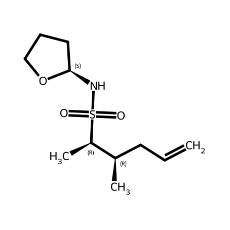 C=CC[C@@H](C)[C@@H](C)S(=O)(=O)N[C@@H]1CCCO1